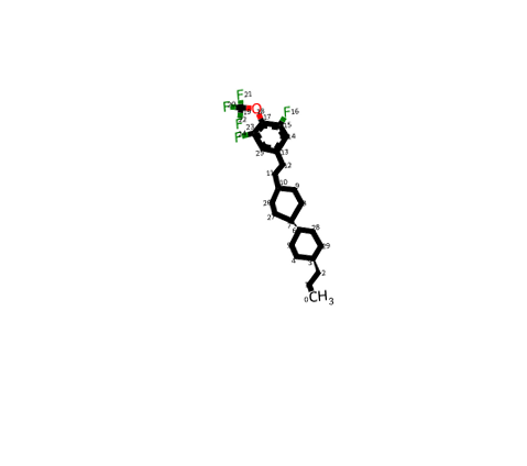 CCC[C@H]1CC[C@H](C2CCC(CCc3cc(F)c(OC(F)(F)F)c(F)c3)CC2)CC1